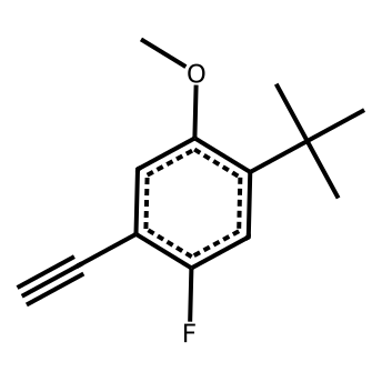 C#Cc1cc(OC)c(C(C)(C)C)cc1F